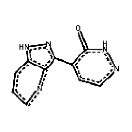 O=c1[nH]nccc1-c1n[nH]c2cccnc12